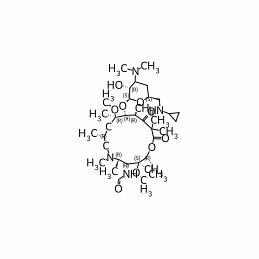 CC[C@H]1OC(=O)C(C)(C)C(=O)[C@H](C)[C@@H](O[C@@H]2O[C@H](CNC3CC3)CC(N(C)C)[C@H]2O)[C@](C)(OC)C[C@@H](C)CN(C)[C@H](C)[C@@H](NC=O)[C@]1(C)OC